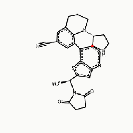 C[C@@H](c1cc2nccc(-c3cc(C#N)cc4c3N([C@@H]3CCNC3)CCC4)c2s1)N1C(=O)CCC1=O